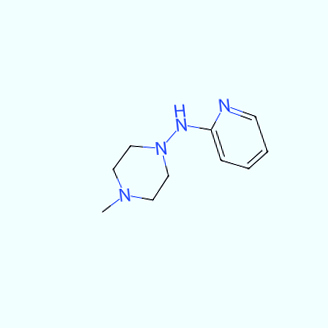 CN1CCN(Nc2ccccn2)CC1